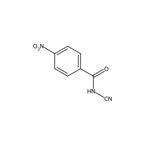 N#CNC(=O)c1ccc([N+](=O)[O-])cc1